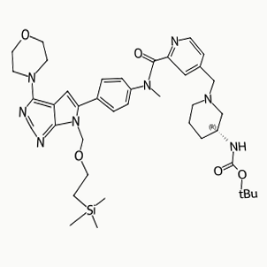 CN(C(=O)c1cc(CN2CCC[C@@H](NC(=O)OC(C)(C)C)C2)ccn1)c1ccc(-c2cc3c(N4CCOCC4)ncnc3n2COCC[Si](C)(C)C)cc1